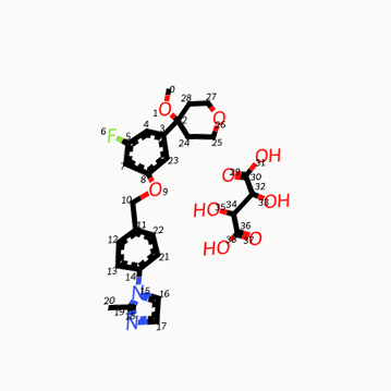 COC1(c2cc(F)cc(OCc3ccc(-n4ccnc4C)cc3)c2)CCOCC1.O=C(O)C(O)C(O)C(=O)O